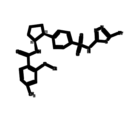 CCOc1cc(C(F)(F)F)ccc1C(=O)N[C@H]1CCC[C@H]1c1ccc(S(=O)(=O)Nc2nnc(C(C)C)s2)cc1